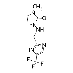 CN1CCN(NCc2ncc(C(F)(F)F)[nH]2)C1=O